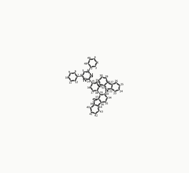 c1ccc(-c2cc(-c3ccccc3)nc(-c3ccc(-c4c(-n5c6ccccc6c6ccccc65)ccc5c4sc4ccccc45)cc3)n2)cc1